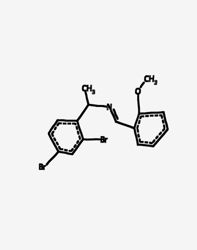 COc1ccccc1C=NC(C)c1ccc(Br)cc1Br